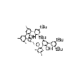 Cc1cc(-c2cc(C(C)(C)C)cc(C(C)(C)C)c2)c(O)c(-c2cc(C)cc(C)c2OCCCOc2c(C)cc(C)cc2-c2cc(C)cc(-c3cc(C(C)(C)C)cc(C(C)(C)C)c3)c2O)c1